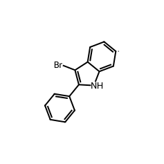 Brc1c(-c2ccccc2)[nH]c2c[c]ccc12